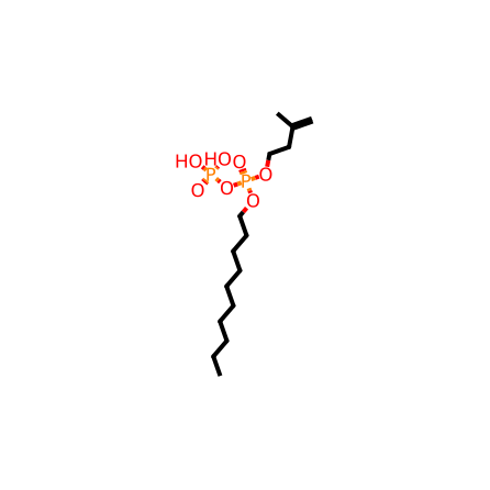 C=C(C)CCOP(=O)(OCCCCCCCCCC)OP(=O)(O)O